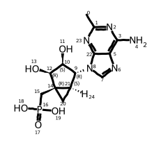 Cc1nc(N)c2ncn([C@H]3[C@H](O)[C@H](O)[C@@]4(CP(=O)(O)O)C[C@H]34)c2n1